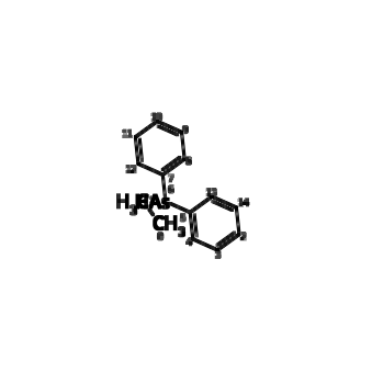 CC.c1ccc([AsH]c2ccccc2)cc1